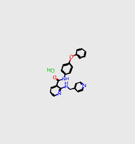 Cl.O=C(Nc1ccc(Oc2ccccc2)cc1)c1cccnc1NCc1ccncc1